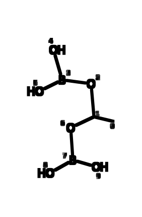 CC(OB(O)O)OB(O)O